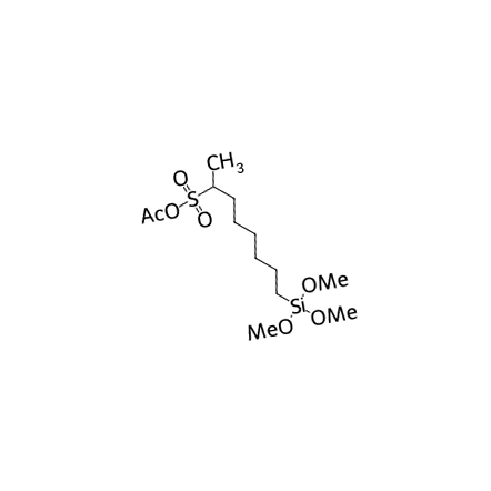 CO[Si](CCCCCCC(C)S(=O)(=O)OC(C)=O)(OC)OC